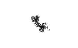 CN1C(c2ccccc2)N2C(c3ccc4ccc(-c5cc6ccccc6c6c5ccc5ccccc56)cc4c3)N2C1c1ccccc1